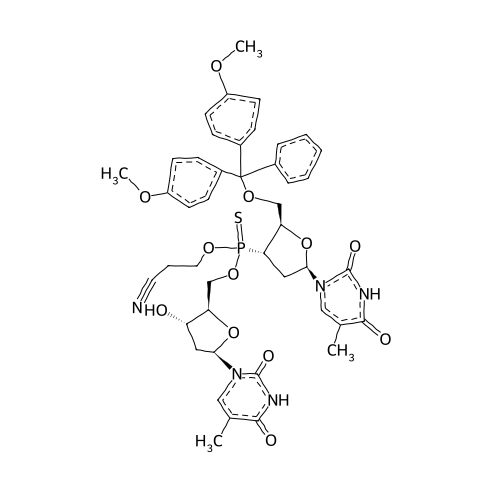 COc1ccc(C(OC[C@H]2O[C@@H](n3cc(C)c(=O)[nH]c3=O)C[C@@H]2P(=S)(OCCC#N)OC[C@H]2O[C@@H](n3cc(C)c(=O)[nH]c3=O)C[C@@H]2O)(c2ccccc2)c2ccc(OC)cc2)cc1